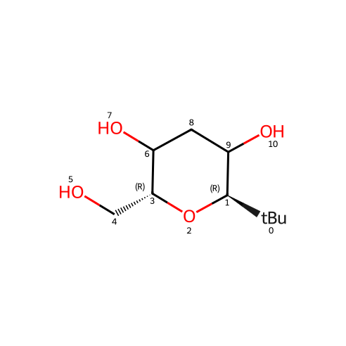 CC(C)(C)[C@H]1O[C@H](CO)C(O)CC1O